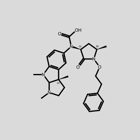 C[C@@H]1C[C@H](N(C(=O)O)c2ccc3c(c2)[C@]2(C)CCN(C)C2N3C)C(=O)N1OCCc1ccccc1